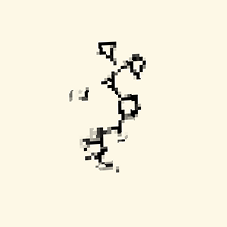 Cc1cc(NC(=O)c2cccc(C3CC3N(C3CCC3)C3CCC3)c2)no1.Cl